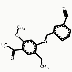 CCc1cc(C(C)=O)c(OC)cc1OCc1cccc(C#N)c1